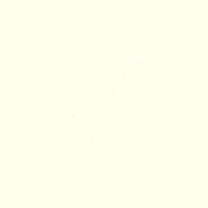 COc1ccc(C2CC=Cc3c2ccc(OC(C)=O)c3-c2ccc(OC)cc2OC)cc1